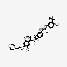 COc1cc2c(Nc3nc4ccc(NC(=O)Nc5ccc(Cl)c(C(F)(F)F)c5)cc4s3)ncnc2cc1OCCN1CCOCC1